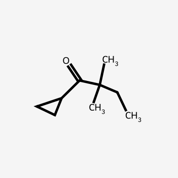 CCC(C)(C)C(=O)C1CC1